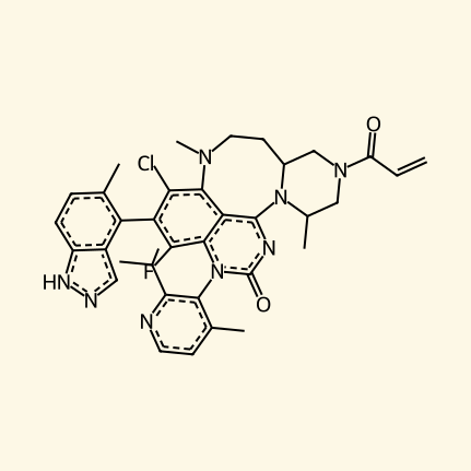 C=CC(=O)N1CC(C)N2c3nc(=O)n(-c4c(C)ccnc4C(C)C)c4c(F)c(-c5c(C)ccc6[nH]ncc56)c(Cl)c(c34)N(C)CCC2C1